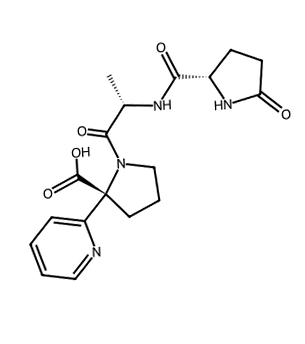 C[C@H](NC(=O)[C@@H]1CCC(=O)N1)C(=O)N1CCC[C@]1(C(=O)O)c1ccccn1